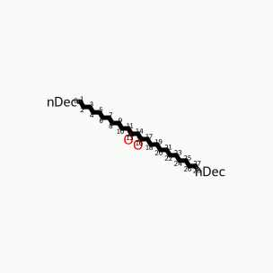 CCCCCCCCCCCCCCCCCCCCCC(=O)CC(=O)CCCCCCCCCCCCCCCCCCCCC